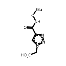 CC(C)(C)ONC(=O)c1cn(CC(=O)O)nn1